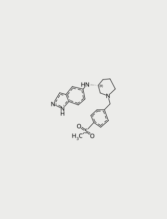 CS(=O)(=O)c1ccc(CN2CCC[C@@H](Nc3ccc4[nH]ncc4c3)C2)cc1